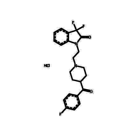 Cl.O=C(c1ccc(F)cc1)C1CCN(CCN2C(=O)C(F)(F)c3ccccc32)CC1